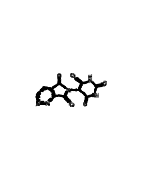 O=C1NC(=O)C(N2C(=O)c3ccnnc3C2=O)C(=O)N1